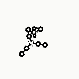 c1ccc(-c2ccc(-c3nc(-c4ccc(-c5ccccc5)cc4)nc(-c4ccc5c(c4)C4(c6ccccc6-5)c5ccccc5-n5c6ccccc6c6cccc4c65)n3)cc2)cc1